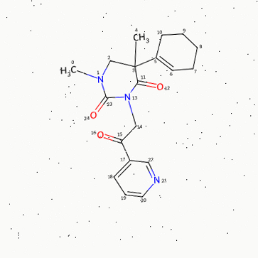 CN1CC(C)(C2=CCCCC2)C(=O)N(CC(=O)c2cccnc2)C1=O